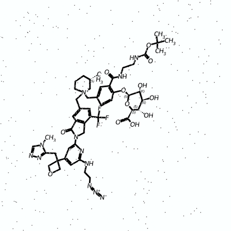 C[C@H]1CCC[N+](Cc2ccc(O[C@@H]3O[C@H](C(=O)O)[C@@H](O)[C@H](O)[C@H]3O)c(C(=O)NCCNC(=O)OC(C)(C)C)c2)(Cc2cc3c(c(C(F)(F)F)c2)CN(c2cc(C4(Cc5nncn5C)COC4)cc(NCCN=[N+]=[N-])n2)C3=O)C1